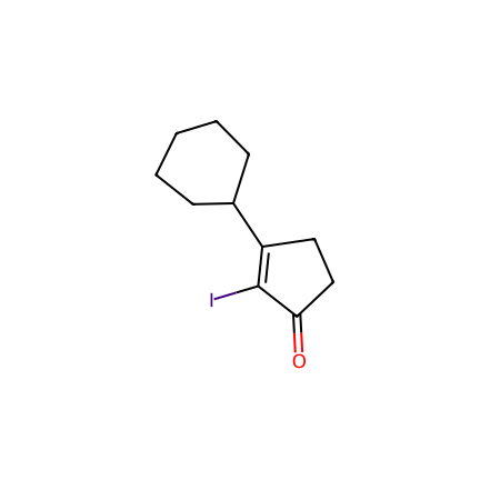 O=C1CCC(C2CCCCC2)=C1I